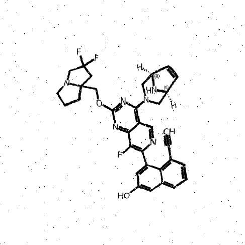 C#Cc1cccc2cc(O)cc(-c3ncc4c(N5C[C@H]6C=C[C@@H](C5)N6)nc(OCC56CCCN5CC(F)(F)C6)nc4c3F)c12